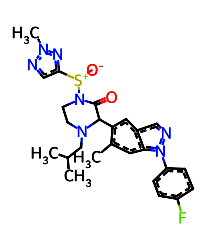 Cc1cc2c(cnn2-c2ccc(F)cc2)cc1C1C(=O)N([S+]([O-])c2cnn(C)n2)CCN1CC(C)C